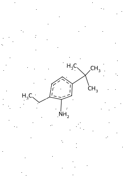 CCc1ccc(C(C)(C)C)cc1N